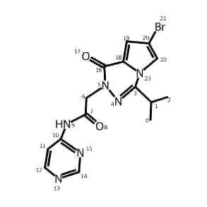 CC(C)c1nn(CC(=O)Nc2ccncn2)c(=O)c2cc(Br)cn12